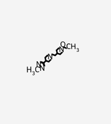 CCC(=O)N1CCC(CCN2CCC(c3cnc(C)nc3)CC2)CC1